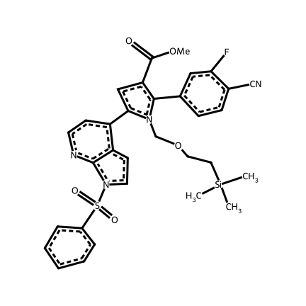 COC(=O)c1cc(-c2ccnc3c2ccn3S(=O)(=O)c2ccccc2)n(COCC[Si](C)(C)C)c1-c1ccc(C#N)c(F)c1